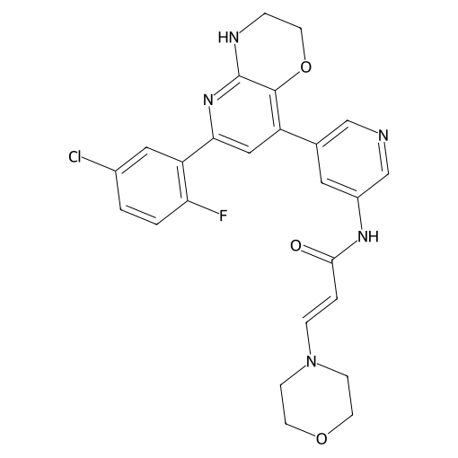 O=C(C=CN1CCOCC1)Nc1cncc(-c2cc(-c3cc(Cl)ccc3F)nc3c2OCCN3)c1